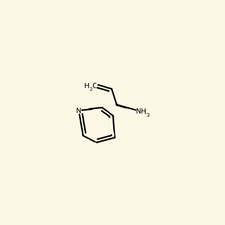 C=CCN.c1ccncc1